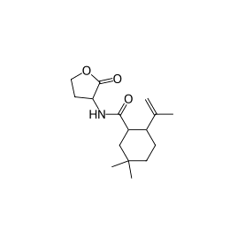 C=C(C)C1CCC(C)(C)CC1C(=O)NC1CCOC1=O